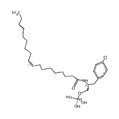 CCCCCCCC/C=C\CCCCCCCC(=O)N[C@H](CO[PH](O)(O)O)Cc1ccc(Cl)cc1